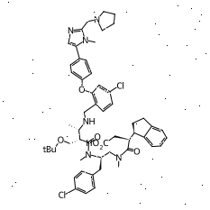 C[C@H](NCc1ccc(Cl)cc1Oc1ccc(-c2cnc(CN3CCCC3)n2C)cc1)[C@@H](COC(C)(C)C)C(=O)N(C)[C@H](Cc1ccc(Cl)cc1)CN(C)C(=O)[C@@H](CC(=O)O)[C@H]1CCc2ccccc21